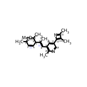 C=C(C)/C=C\C(/C(C)=C/c1cc(C2=C(C)C(C)=N2)cnc1C)C(C)OC